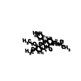 CCOc1cc(Cn2c(=O)c3cc(CNC(C)=O)ccc3n(C3CCNCC3)c2=O)ccc1OC